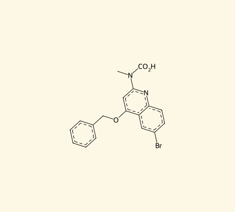 CN(C(=O)O)c1cc(OCc2ccccc2)c2cc(Br)ccc2n1